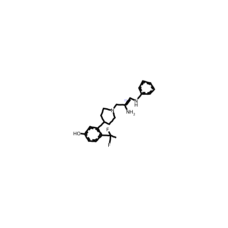 CC(F)(F)c1ccc(O)cc1C1CCN(C/C(N)=C/Nc2ccccc2)CC1